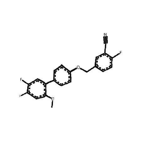 COc1cc(F)c(F)cc1-c1ccc(OCc2ccc(F)c(C#N)c2)cc1